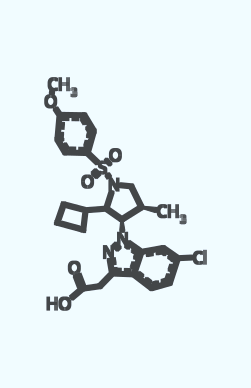 COc1ccc(S(=O)(=O)N2C[C@@H](C)[C@@H](n3nc(CC(=O)O)c4ccc(Cl)cc43)C2C2CCC2)cc1